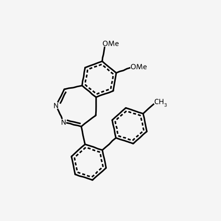 COc1cc2c(cc1OC)CC(c1ccccc1-c1ccc(C)cc1)=NN=C2